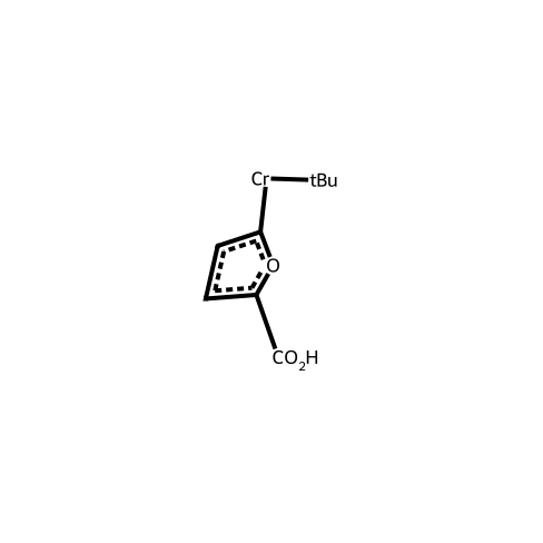 C[C](C)(C)[Cr][c]1ccc(C(=O)O)o1